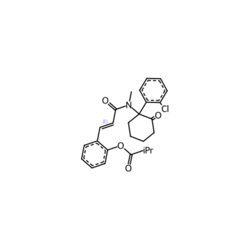 CC(C)C(=O)Oc1ccccc1/C=C/C(=O)N(C)C1(c2ccccc2Cl)CCCCC1=O